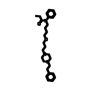 CCC(=O)N(CCCCOCCCN1CCN(CCc2ccccc2)CC1)c1ccccc1